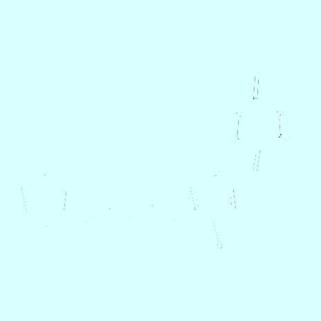 O=C1NC(=O)C(=Cc2ccc(OCCCCC3CCCCC3)c([N+](=O)[O-])c2)C(=O)N1